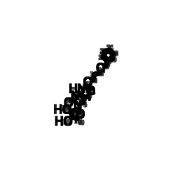 C[C@H]1O[C@@H](n2cc(I)c(NC(=O)OCCCOCc3ccccc3)nc2=O)C(O)C1O